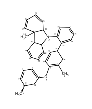 CC1=C(OC2=CC=C[C@H](C)C2)C=CC(c2ccccc2N2C3C=CC=CC3C3(C)C=CC=CC23)C1